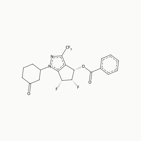 O=C1CCCC(n2nc(C(F)(F)F)c3c2[C@@H](F)[C@@H](F)[C@H]3OC(=O)c2ccccc2)C1